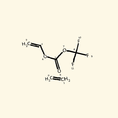 C=C.C=COC(=O)OC(F)(F)F